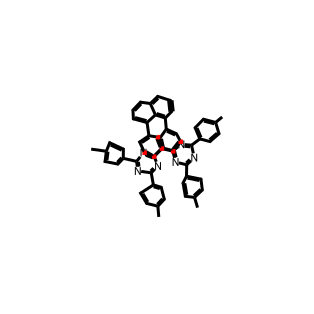 Cc1ccc(-c2nc(-c3ccc(C)cc3)nc(-c3cccc(-c4c#ccc5cccc(-c6cccc(-c7nc(-c8ccc(C)cc8)nc(-c8ccc(C)cc8)n7)c6)c45)c3)n2)cc1